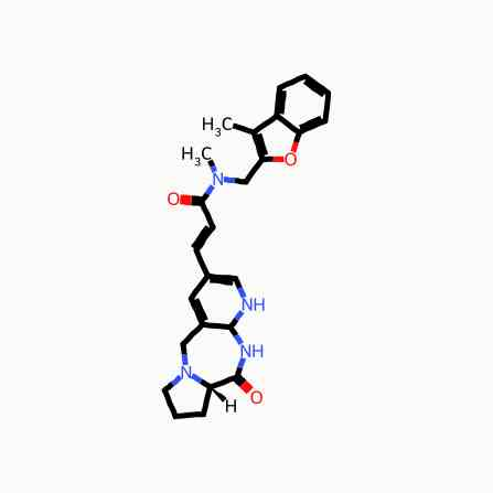 Cc1c(CN(C)C(=O)/C=C/C2=CNC3NC(=O)[C@@H]4CCCN4CC3=C2)oc2ccccc12